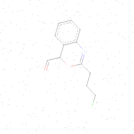 O=CC1OC(CCCCl)=Nc2ccccc21